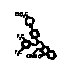 CCOC(=O)C1CCN(c2cnc(N(Cc3cc(C(F)(F)F)cc(C(F)(F)F)c3)Cc3cc4ccccc4c(=O)n3CCOC)nc2)CC1